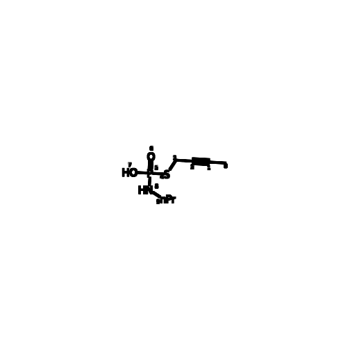 CC#CCSP(=O)(O)NCCC